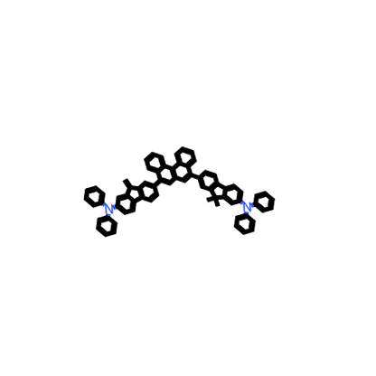 C=C1c2cc(-c3cc4cc(-c5ccc6c(c5)C(C)(C)c5cc(N(c7ccccc7)c7ccccc7)ccc5-6)c5ccccc5c4c4ccccc34)ccc2-c2ccc(N(c3ccccc3)c3ccccc3)cc21